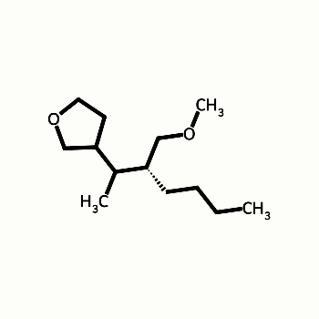 CCCC[C@@H](COC)C(C)C1CCOC1